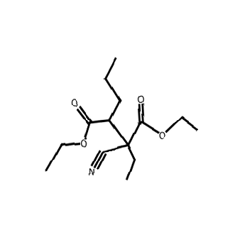 CCCC(C(=O)OCC)C(C#N)(CC)C(=O)OCC